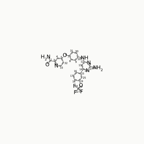 NC(=O)c1cc(Oc2ccc(Nc3cc(-c4cccc(OC(F)(F)F)c4)nc(N)n3)cc2)ccn1